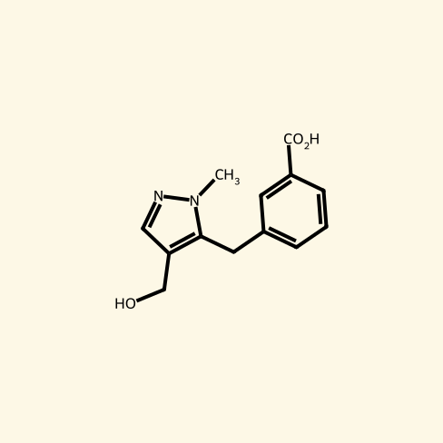 Cn1ncc(CO)c1Cc1cccc(C(=O)O)c1